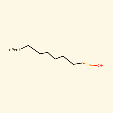 CCCCCCCCCCCCPO